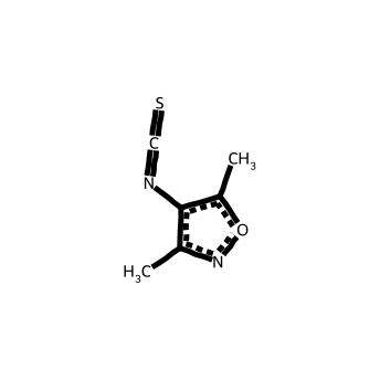 Cc1noc(C)c1N=C=S